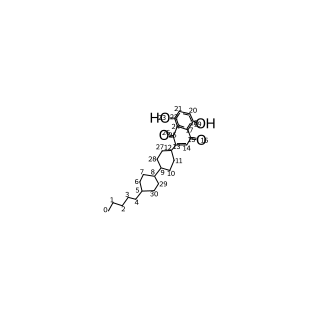 CCCCCC1CCC(C2CCC(C3=CC(=O)c4c(O)ccc(O)c4C3=O)CC2)CC1